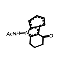 CC(=O)Nn1c2c(c3ccccc31)C(=O)CCC2